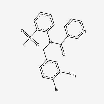 CS(=O)(=O)c1ccccc1N(Cc1ccc(Br)c(N)c1)C(=O)c1cccnc1